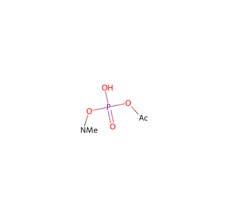 CNOP(=O)(O)OC(C)=O